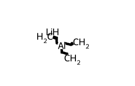 C=C[CH2][Al]([CH2]C=C)[CH2]C=C.[LiH]